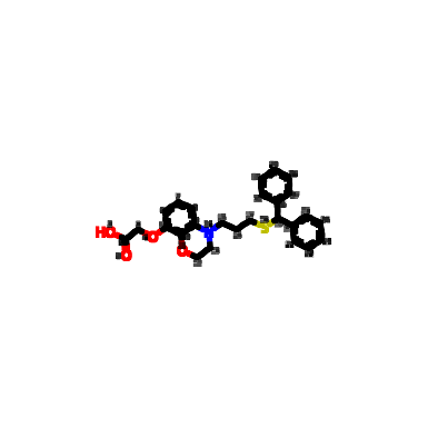 O=C(O)COc1cccc2c1OCCN2CCCSC(c1ccccc1)c1ccccc1